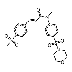 CN(C(=O)C=Cc1ccc(S(C)(=O)=O)cc1)c1ccc(S(=O)(=O)N2CCOCC2)cc1